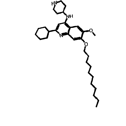 CCCCCCCCCCCOc1cc2nc(C3CCCCC3)cc(NC3CCNCC3)c2cc1OC